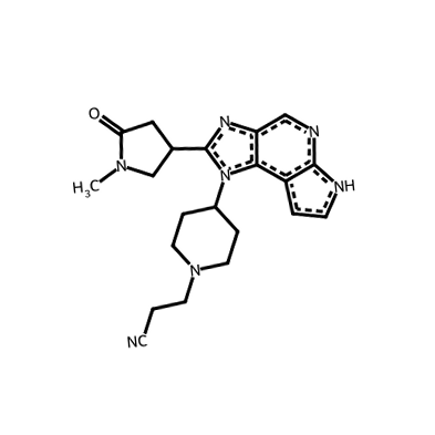 CN1CC(c2nc3cnc4[nH]ccc4c3n2C2CCN(CCC#N)CC2)CC1=O